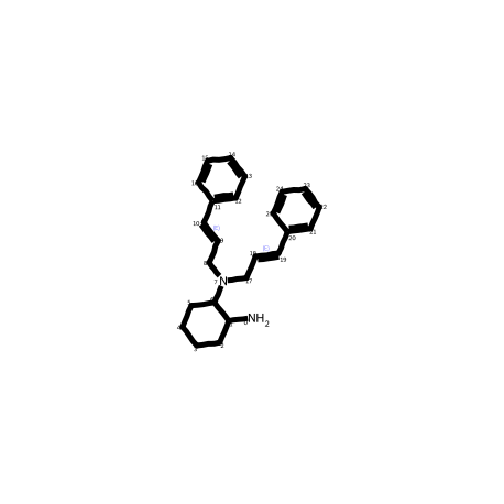 NC1CCCCC1N(C/C=C/c1ccccc1)C/C=C/c1ccccc1